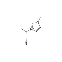 CC(C#N)[n+]1ccn(C)c1